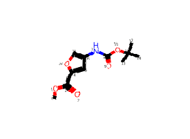 COC(=O)c1cc(NC(=O)OC(C)(C)C)co1